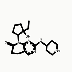 CCC1(O)CCCC1N1C(=O)CCc2cnc(NC3CCNCC3)nc21